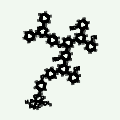 CC1(C)OB(c2ccc(Oc3ccc(-c4cc(-c5ccccc5C#N)cc(-c5ccc(-c6cc(-c7cc(-c8ccccc8C#N)cc(-c8ccccc8C#N)c7)ccc6Oc6ccc(-c7nc(-c8ccccc8)nc(-c8ccccc8)n7)cc6)cc5C#N)c4)cc3)cc2)OC1(C)C